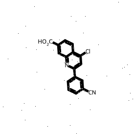 N#Cc1cccc(-c2cc(Cl)c3ccc(C(=O)O)cc3n2)c1